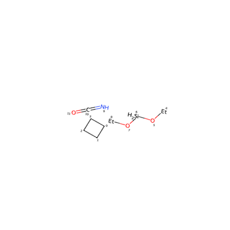 C1CCC1.CCO[SiH2]OCC.N=C=O